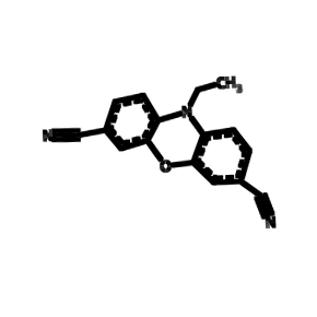 CCN1c2ccc(C#N)cc2Oc2cc(C#N)ccc21